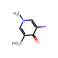 CCOC(=O)c1cn(C)cc(I)c1=O